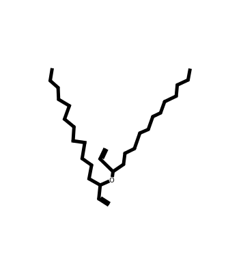 C=CC(CCCCCCCCCCCC)OC(C=C)CCCCCCCCCCCC